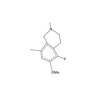 COc1cc(C)c2c(c1F)CCN(C)C2